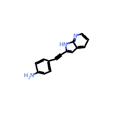 Nc1ccc(C#Cc2cc3cccnc3[nH]2)cc1